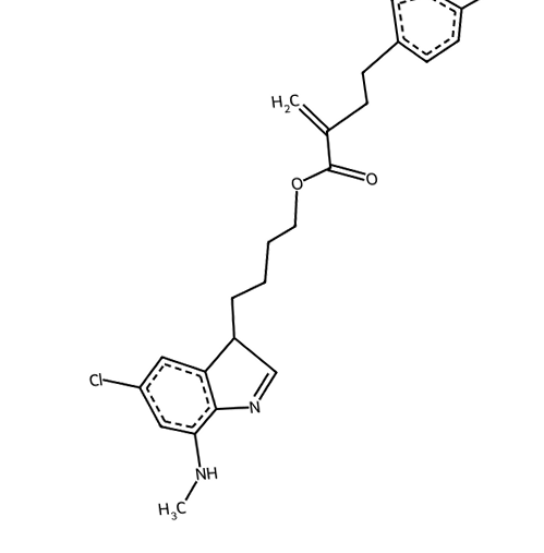 C=C(CCc1ccc(F)cc1)C(=O)OCCCCC1C=Nc2c(NC)cc(Cl)cc21